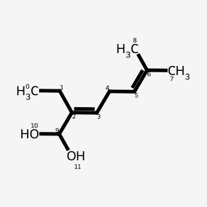 CC/C(=C\CC=C(C)C)C(O)O